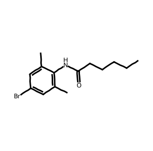 CCCCCC(=O)Nc1c(C)cc(Br)cc1C